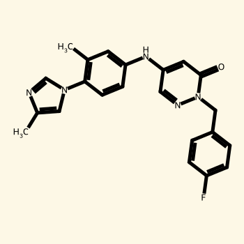 Cc1cn(-c2ccc(Nc3cnn(Cc4ccc(F)cc4)c(=O)c3)cc2C)cn1